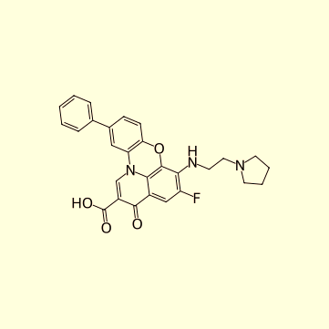 O=C(O)c1cn2c3c(c(NCCN4CCCC4)c(F)cc3c1=O)Oc1ccc(-c3ccccc3)cc1-2